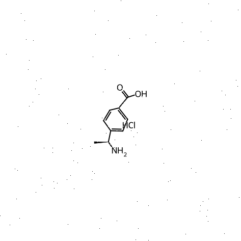 C[C@H](N)c1ccc(C(=O)O)cc1.Cl